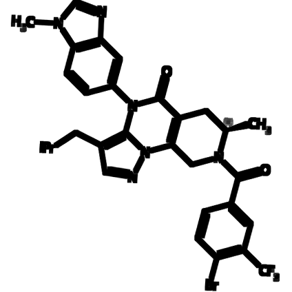 CC(C)Cc1cnn2c3c(c(=O)n(-c4ccc5c(c4)ncn5C)c12)C[C@@H](C)N(C(=O)c1ccc(Br)c(C(F)(F)F)c1)C3